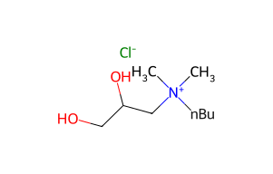 CCCC[N+](C)(C)CC(O)CO.[Cl-]